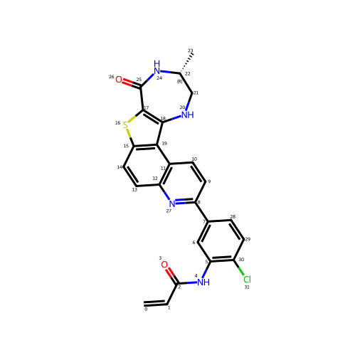 C=CC(=O)Nc1cc(-c2ccc3c(ccc4sc5c(c43)NC[C@@H](C)NC5=O)n2)ccc1Cl